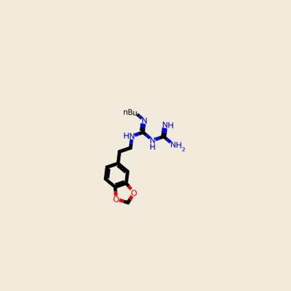 CCCC/N=C(\NCCc1ccc2c(c1)OCO2)NC(=N)N